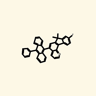 CC1(C)c2cc(F)ccc2-c2c1cc(-c1c3ccccc3c(-c3ccccc3)c3ccccc13)c1cccnc21